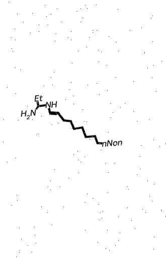 CCCCCCCCCCCCCCCCC=CNC(N)CC